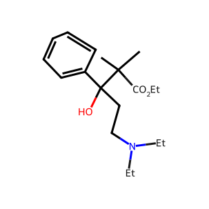 CCOC(=O)C(C)(C)C(O)(CCN(CC)CC)c1ccccc1